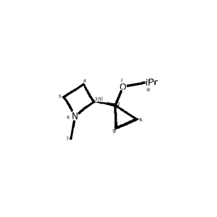 CC(C)OC1([C@@H]2CCN2C)CC1